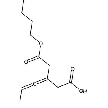 CC=C=C(CC(=O)O)CC(=O)OCCCC